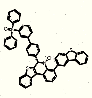 CN1c2c(-c3ccc4sc5ccccc5c4c3)cccc2-c2c(sc3ccccc23)C1c1ccc(-c2cccc(P(=O)(c3ccccc3)c3ccccc3)c2)cc1